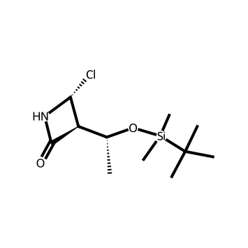 C[C@@H](O[Si](C)(C)C(C)(C)C)[C@H]1C(=O)N[C@@H]1Cl